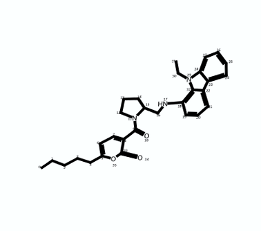 CCCCCc1ccc(C(=O)N2CCCC2CNc2cccc3c4ccccc4n(CC)c23)c(=O)o1